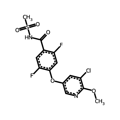 COc1ncc(Oc2cc(F)c(C(=O)NS(C)(=O)=O)cc2F)cc1Cl